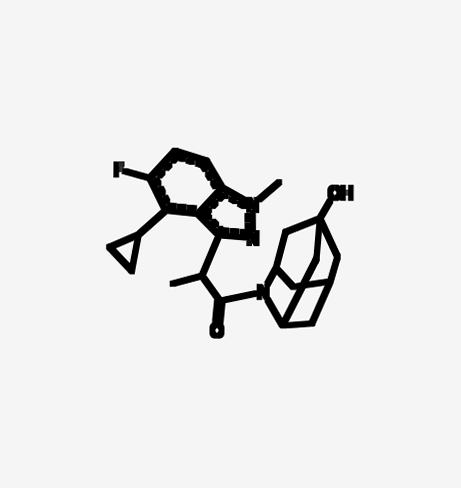 CC(C(=O)N1C2CC3CC1CC(O)(C3)C2)c1nn(C)c2ccc(F)c(C3CC3)c12